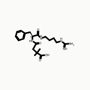 CC(C)(CC(=O)N[C@@H](Cc1ccccc1)C(=O)NCCCCNC(=N)N)C(=O)O